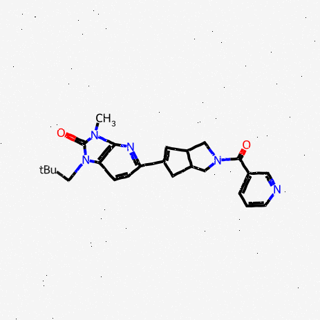 Cn1c(=O)n(CC(C)(C)C)c2ccc(C3=CC4CN(C(=O)c5cccnc5)CC4C3)nc21